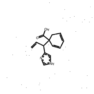 C=CC(c1c[nH]cn1)C1(C(=O)O)C=CC=CC1